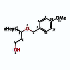 CCCCCCC[C@H](CCO)OCc1ccc(OC)cc1